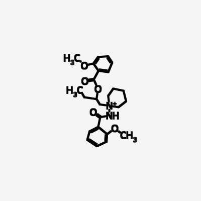 CCC(C[N+]1(NC(=O)c2ccccc2OC)CCCCC1)OC(=O)c1ccccc1OC